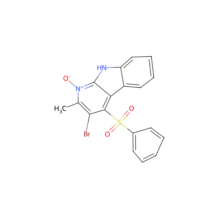 Cc1c(Br)c(S(=O)(=O)c2ccccc2)c2c3ccccc3[nH]c2[n+]1[O-]